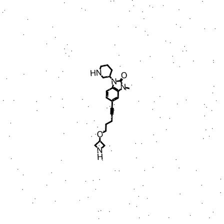 Cn1c(=O)n(C2CCCNC2)c2ccc(C#CCCCOC3CNC3)cc21